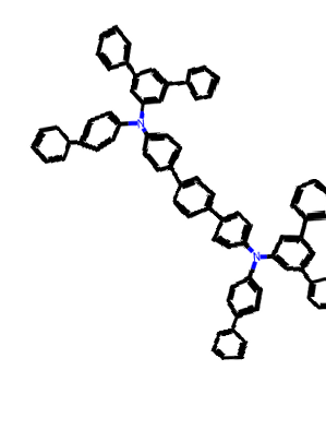 C1=CCC(c2ccc(N(c3ccc(-c4ccc(-c5ccc(N(c6ccc(-c7ccccc7)cc6)c6cc(-c7ccccc7)cc(-c7ccccc7)c6)cc5)cc4)cc3)c3cc(-c4ccccc4)cc(-c4ccccc4)c3)cc2)C=C1